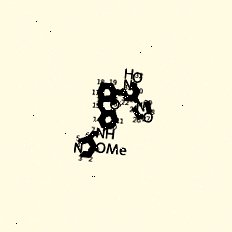 COc1ccncc1CNc1ccc2c(c1)Cc1cccc(-c3cc(N4CCOCC4)cc(=O)[nH]3)c1O2